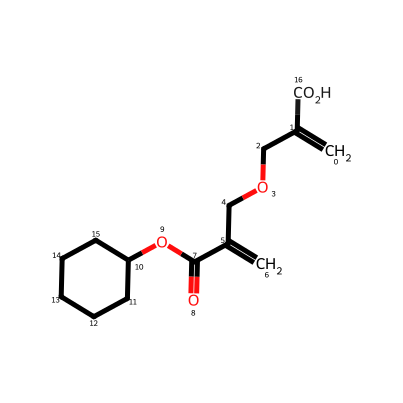 C=C(COCC(=C)C(=O)OC1CCCCC1)C(=O)O